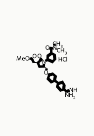 COC(=O)C[C@@H]1C[C@@H](COc2ccc(-c3ccc(C(=N)N)cc3)cc2)N(c2cccc(C(=O)N(C)C)c2)C1=O.Cl